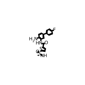 CS(=N)(=O)c1ccc(C(=O)Nc2cc(-c3ccc(F)cc3)ccc2N)s1